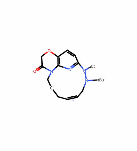 CCN1c2ccc3c(n2)N(CCC/C=C\CN1C(C)(C)C)C(=O)CO3